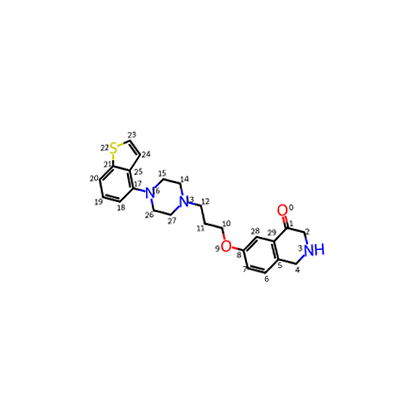 O=C1CNCc2ccc(OCCCN3CCN(c4cccc5sccc45)CC3)cc21